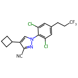 N#Cc1nn(-c2c(Cl)cc(CCC(F)(F)F)cc2Cl)cc1C1CCC1